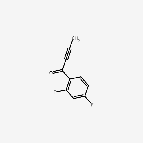 CC#CC(=O)c1ccc(F)cc1F